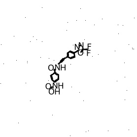 O=C(O)Nc1ccc(C(=O)NCC#Cc2ccc(-c3nnc(C(F)F)o3)cc2)cc1